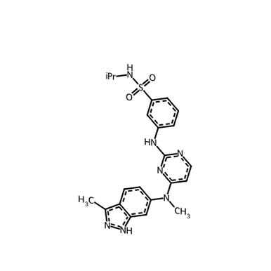 Cc1n[nH]c2cc(N(C)c3ccnc(Nc4cccc(S(=O)(=O)NC(C)C)c4)n3)ccc12